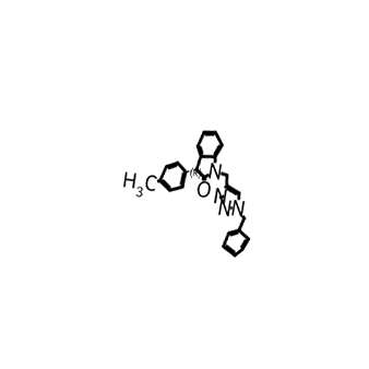 Cc1ccc([C@H]2C(=O)N(Cc3cn(Cc4ccccc4)nn3)c3ccccc32)cc1